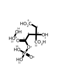 O=C(O)CC(O)(CC(=O)OP(=O)(O)O)C(=O)O.OO